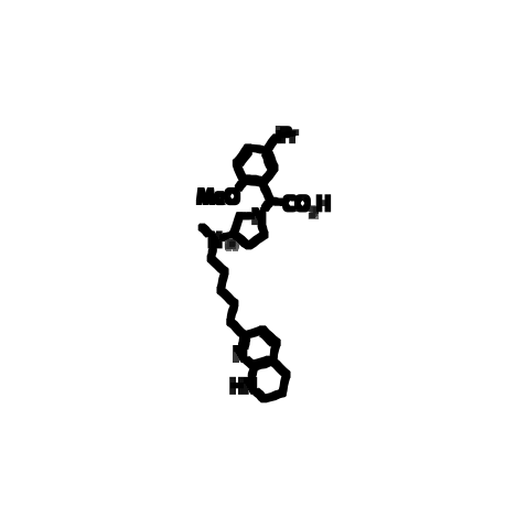 COc1ccc(C(C)C)cc1C(C(=O)O)N1CC[C@@H](N(C)CCCCCc2ccc3c(n2)NCCC3)C1